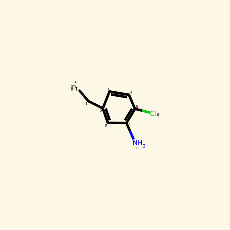 CC(C)Cc1ccc(Cl)c(N)c1